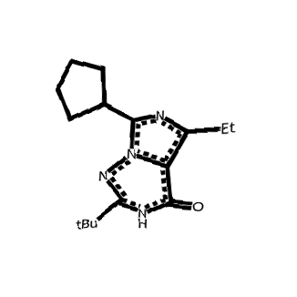 CCc1nc(C2CCCC2)n2nc(C(C)(C)C)[nH]c(=O)c12